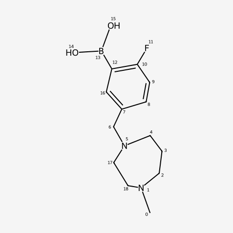 CN1CCCN(Cc2ccc(F)c(B(O)O)c2)CC1